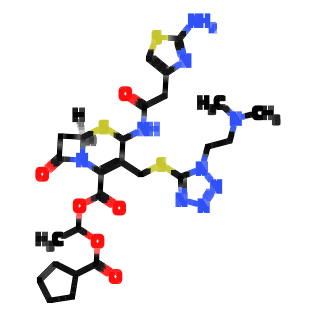 CC(OC(=O)C1=C(CSc2nnnn2CCN(C)C)C(NC(=O)Cc2csc(N)n2)S[C@@H]2CC(=O)N12)OC(=O)C1CCCC1